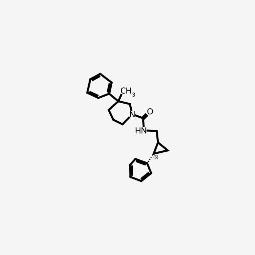 CC1(c2ccccc2)CCCN(C(=O)NCC2C[C@@H]2c2ccccc2)C1